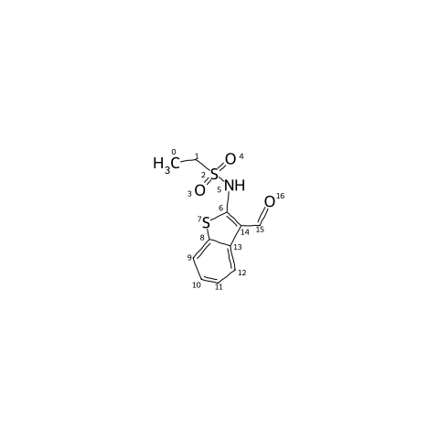 CCS(=O)(=O)Nc1sc2ccccc2c1C=O